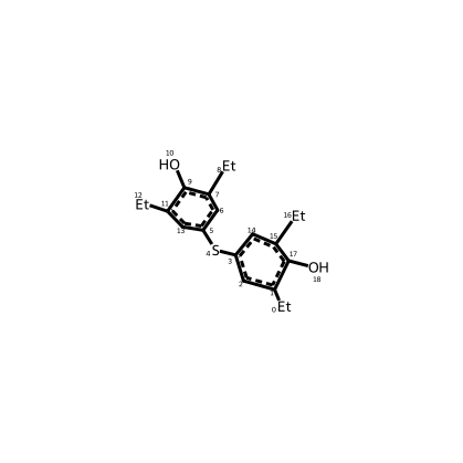 CCc1cc(Sc2cc(CC)c(O)c(CC)c2)cc(CC)c1O